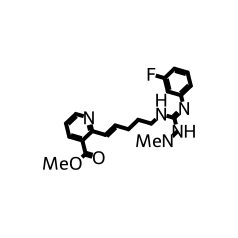 CNNC(=Nc1cccc(F)c1)NCCCC=Cc1ncccc1C(=O)OC